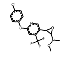 CON(C)C1OC1c1cnc(Oc2ccc(Cl)cc2)cc1C(F)(F)F